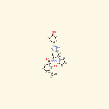 O=C(Nc1cc2cn([C@H]3CC[C@H](O)CC3)nc2cc1N1CCCC1)c1cccc(C2CC2)[n+]1O